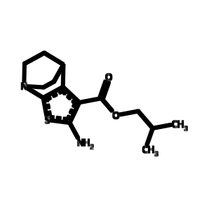 CC(C)COC(=O)c1c(N)sc2c1C1CCN2CC1